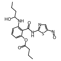 CCCC(=O)Oc1cccc(NC(O)CCC)c1C(=O)Nc1ncc(N=O)s1